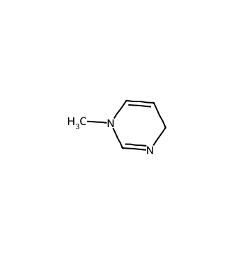 CN1C=CCN=C1